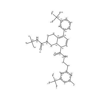 Cc1cc(C(F)(F)F)nc(CCNC(=O)C2C=CC(c3cccc(C(F)(F)F)c3)=C3CCN(C(=O)NC(C)(C)C)CC32)n1